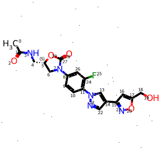 CC(=O)NC[C@H]1CN(c2ccc(-n3cc(-c4cc(CO)on4)cn3)c(F)c2)C(=O)O1